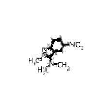 CN(C)c1c2cc([N+](=O)[O-])ccc2nn1C